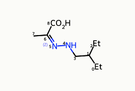 CCC(CC)CN/N=C(/C)C(=O)O